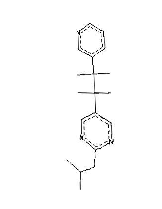 CC(C)Cc1ncc(C(C)(C)C(C)(C)c2cccnc2)cn1